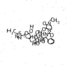 CCN1CCN(C(=O)NC(C(=O)N[C@]2(NO)C(=O)N3C(C(=O)O)=C(CSc4nnc(C)s4)CS[C@@H]32)c2ccccc2)C(=O)C1=O